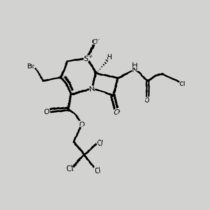 O=C(CCl)NC1C(=O)N2C(C(=O)OCC(Cl)(Cl)Cl)=C(CBr)C[S+]([O-])[C@@H]12